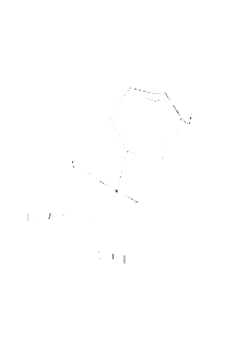 CC(O)C(F)(F)c1cccnc1